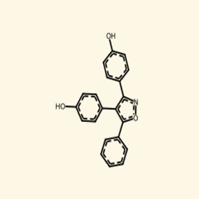 Oc1ccc(-c2noc(-c3ccccc3)c2-c2ccc(O)cc2)cc1